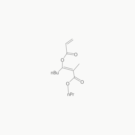 C=CC(=O)OC(CCCC)=C(C)C(=O)OCCC